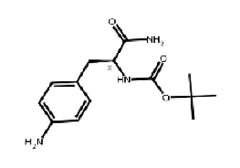 CC(C)(C)OC(=O)N[C@@H](Cc1ccc(N)cc1)C(N)=O